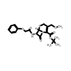 COCC1=C(C(=O)OC(C)(C)C)N2C(=O)[C@@H](NC(=O)COc3ccccc3)[C@@H]2SC1